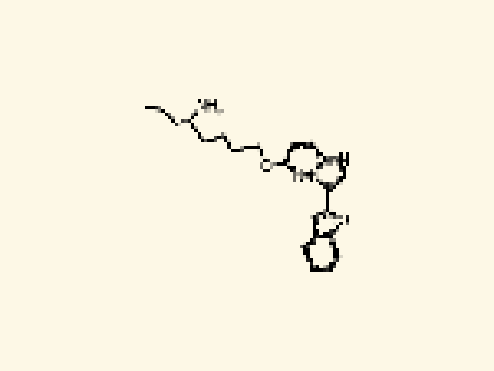 CCCC(N)CCCCOc1ccc2ncc(-c3cc4ccccc4o3)n2n1